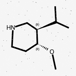 CO[C@@H]1CCNC[C@H]1C(C)C